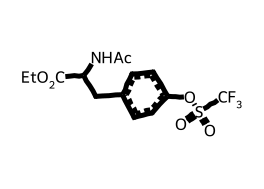 CCOC(=O)C(Cc1ccc(OS(=O)(=O)C(F)(F)F)cc1)NC(C)=O